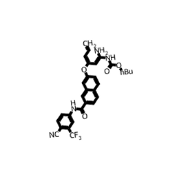 C=C/C=C(\C=C(/N)NC(=O)OCCCC)Oc1ccc2ccc(C(=O)Nc3ccc(C#N)c(C(F)(F)F)c3)cc2c1